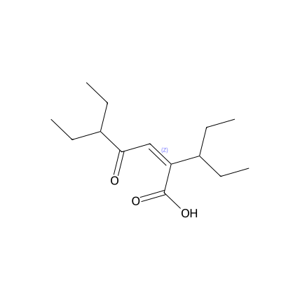 CCC(CC)C(=O)/C=C(\C(=O)O)C(CC)CC